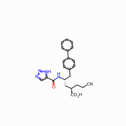 N#CCC[C@H](C[C@@H](Cc1ccc(-c2ccccc2)cc1)NC(=O)c1cnn[nH]1)C(=O)O